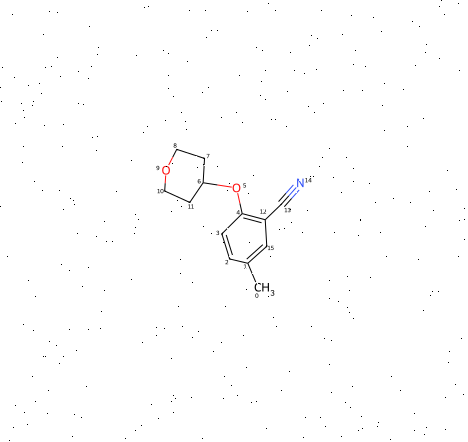 Cc1ccc(OC2CCOCC2)c(C#N)c1